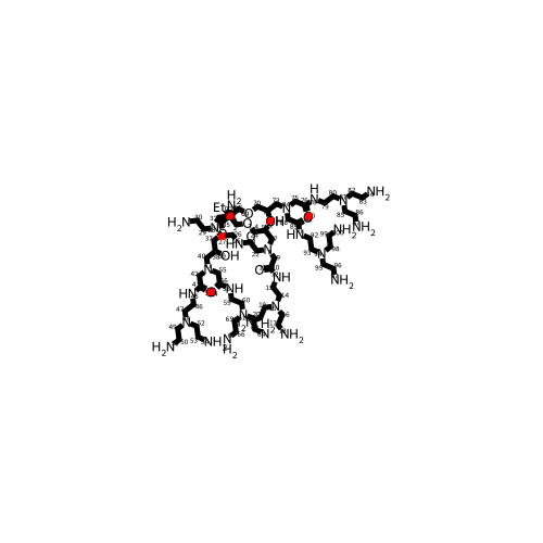 CCC(COCC(O)CN(CC(=O)NCCN(CCN)CCN)CC(=O)NCCN(CCN)CCN)(COCC(O)CN(CC(=O)NCCN(CCN)CCN)CC(=O)NCCN(CCN)CCN)COCC(O)CN(CC(=O)NCCN(CCN)CCN)CC(=O)NCCN(CCN)CCN